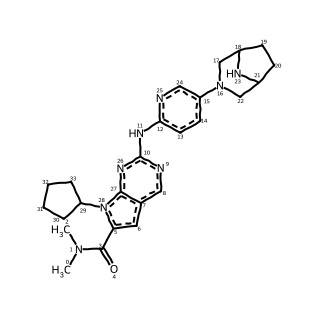 CN(C)C(=O)c1cc2cnc(Nc3ccc(N4CC5CCC(C4)N5)cn3)nc2n1C1CCCC1